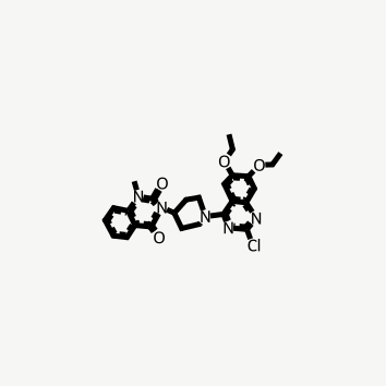 CCOc1cc2nc(Cl)nc(N3CCC(n4c(=O)c5ccccc5n(C)c4=O)CC3)c2cc1OCC